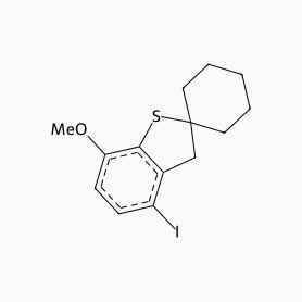 COc1ccc(I)c2c1SC1(CCCCC1)C2